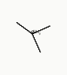 CCCCCCCCCCCCCCCCCCC(CCCCCCCCCCCCCCCCC)(CCCCCCCCCCCCCCCCC)O[SiH3]